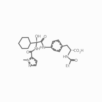 CCC(=O)N[C@H](Cc1ccc(NC(=O)[C@](O)(NC(=O)c2ccnn2C)C2CCCCC2)cc1)C(=O)O